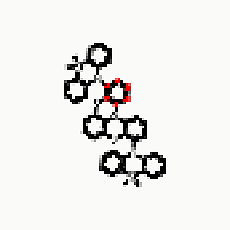 C[Si]1(C)c2ccccc2N(c2cccc3c2Sc2cccc4c2[Si]3(c2ccccc2)c2cccc(N3c5ccccc5[Si](C)(C)c5ccccc53)c2S4)c2ccccc21